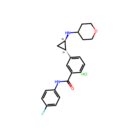 Cl.O=C(Nc1ccc(F)cc1)c1cccc([C@@H]2C[C@H]2NC2CCOCC2)c1